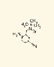 CC(C)(C)N(Br)Cc1cc(C#N)ccc1N